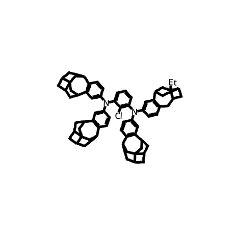 CCC12CC3CC1CC2Cc1ccc(N(c2ccc4c(c2)C2CC5CC6CC4CC65C2)c2cccc(N(c4ccc5c(c4)C4CC6CC7CC5CC76C4)c4ccc5c(c4)C4CC6CC7CC5CC76C4)c2Cl)cc13